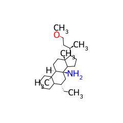 CC[C@H]1C[C@@]2(N)C3CCC([C@H](C)CCOC)[C@@]3(C)CC[C@@H]2C2(C)CCCCC12